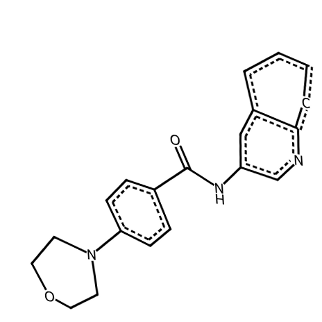 O=C(Nc1cnc2ccccc2c1)c1ccc(N2CCOCC2)cc1